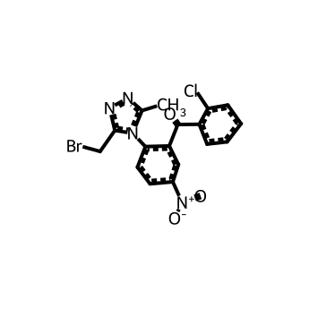 Cc1nnc(CBr)n1-c1ccc([N+](=O)[O-])cc1C(=O)c1ccccc1Cl